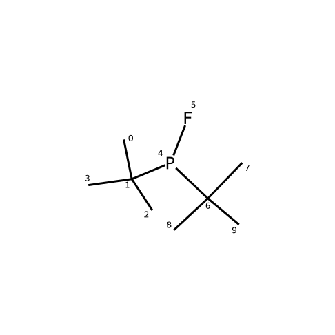 CC(C)(C)P(F)C(C)(C)C